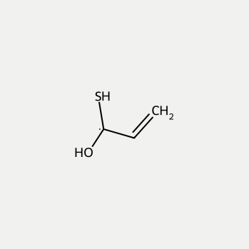 C=C[C](O)S